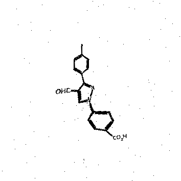 Cc1ccc(-c2nn(-c3ccc(C(=O)O)cc3)cc2C=O)cc1